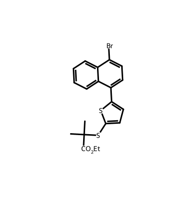 CCOC(=O)C(C)(C)Sc1ccc(-c2ccc(Br)c3ccccc23)s1